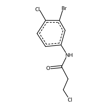 O=C(CCCl)Nc1ccc(Cl)c(Br)c1